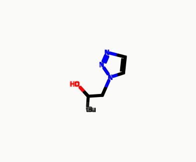 CC(C)(C)C(O)Cn1ccnn1